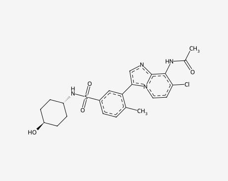 CC(=O)Nc1c(Cl)ccn2c(-c3cc(S(=O)(=O)N[C@H]4CC[C@H](O)CC4)ccc3C)cnc12